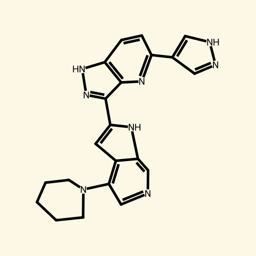 c1n[nH]cc1-c1ccc2[nH]nc(-c3cc4c(N5CCCCC5)cncc4[nH]3)c2n1